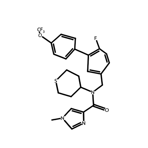 Cn1cnc(C(=O)N(Cc2ccc(F)c(-c3ccc(OC(F)(F)F)cc3)c2)C2CCSCC2)c1